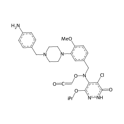 COc1ccc(CN(OC=C=O)c2c(OC(C)C)n[nH]c(=O)c2Cl)cc1N1CCN(Cc2ccc(N)cc2)CC1